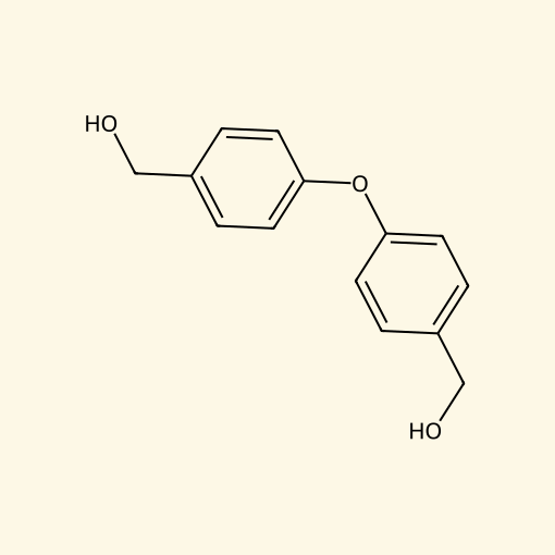 OCc1ccc(Oc2ccc(CO)cc2)cc1